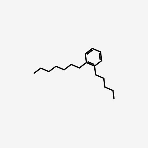 CCCCCCCc1[c]cccc1CCCCC